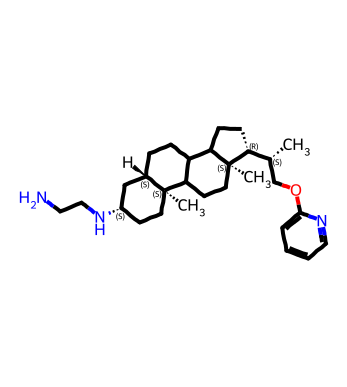 C[C@H](COc1ccccn1)[C@H]1CCC2C3CC[C@H]4C[C@@H](NCCN)CC[C@]4(C)C3CC[C@@]21C